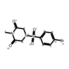 CN1C(=O)CN(S(=O)(=O)c2ccc(Br)cc2)CC1=O